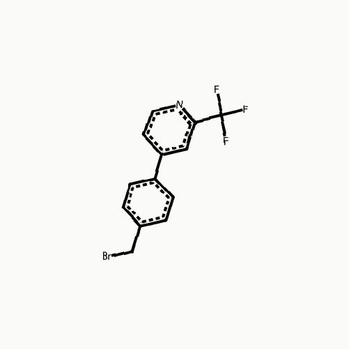 FC(F)(F)c1cc(-c2ccc(CBr)cc2)ccn1